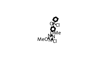 COc1nc(Cl)nc(OC)n1.O=P(Cl)(c1ccccc1)c1ccccc1